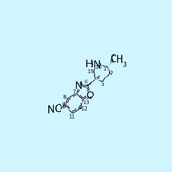 C[C@@H]1CC[C@@H](c2nc3cc(C#N)ccc3o2)CN1